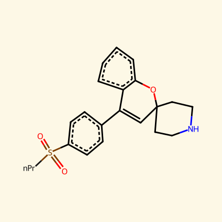 CCCS(=O)(=O)c1ccc(C2=CC3(CCNCC3)Oc3ccccc32)cc1